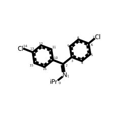 CC(C)N=C(c1ccc(Cl)cc1)c1ccc(Cl)cc1